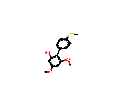 COc1cc(O)c(-c2c[c]c(SC)cc2)c(OC)c1